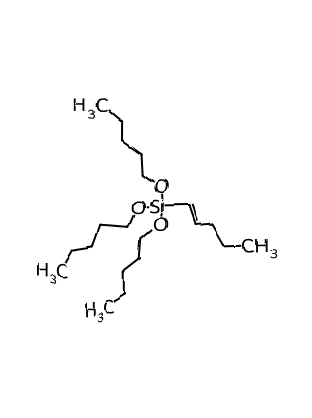 CCCC=C[Si](OCCCCC)(OCCCCC)OCCCCC